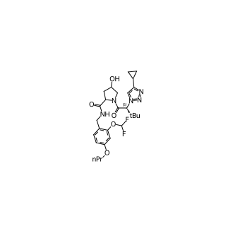 CCCOc1ccc(CNC(=O)C2CC(O)CN2C(=O)[C@@H](n2cc(C3CC3)nn2)C(C)(C)C)c(OC(F)F)c1